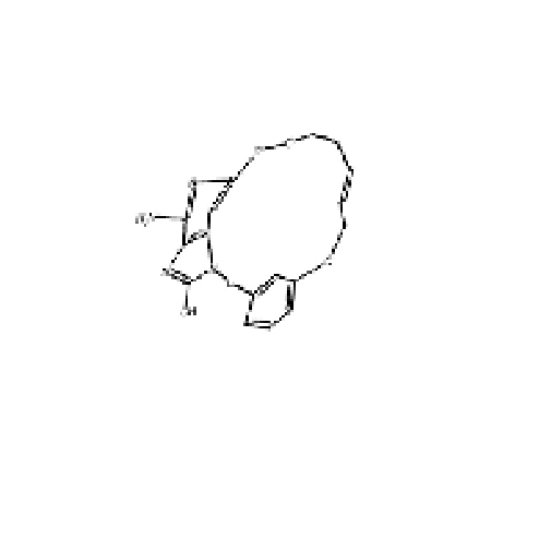 Nc1nc2cc3c1nc(O)n3Cc1cccc(c1)OC/C=C/CCCO2